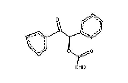 O=CC(=O)OC(C(=O)c1ccccc1)c1ccccc1